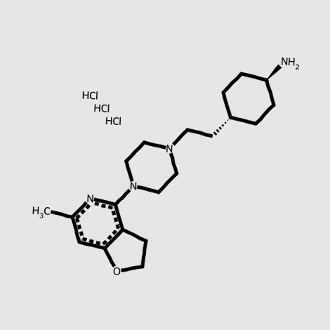 Cc1cc2c(c(N3CCN(CC[C@H]4CC[C@H](N)CC4)CC3)n1)CCO2.Cl.Cl.Cl